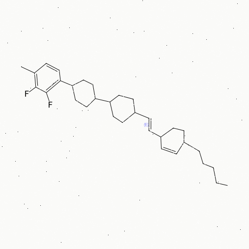 CCCCCC1C=CC(/C=C/C2CCC(C3CCC(c4ccc(C)c(F)c4F)CC3)CC2)CC1